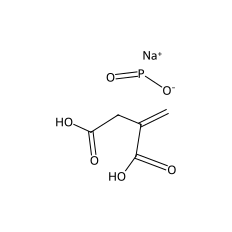 C=C(CC(=O)O)C(=O)O.O=P[O-].[Na+]